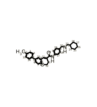 Cc1ccc(-c2ccc3c(c2)C=C(C(=O)Nc2ccc(CNCC4CCCCC4)cc2)CCO3)cc1